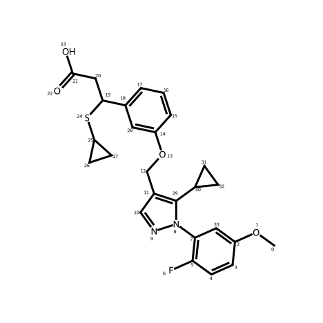 COc1ccc(F)c(-n2ncc(COc3cccc(C(CC(=O)O)SC4CC4)c3)c2C2CC2)c1